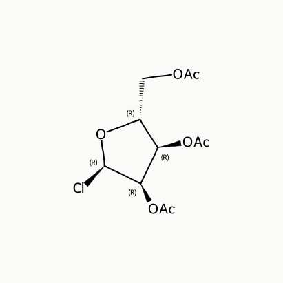 CC(=O)OC[C@H]1O[C@H](Cl)[C@H](OC(C)=O)[C@@H]1OC(C)=O